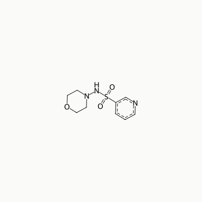 O=S(=O)(NN1CCOCC1)c1cccnc1